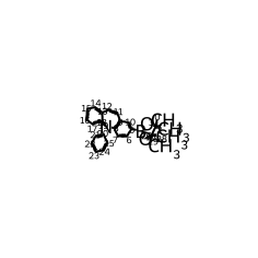 CC1(C)OB(c2ccc3c(c2)C=Cc2ccccc2N3c2ccccc2)OC1(C)C